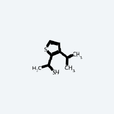 CC(C)c1ccsc1C(C)S